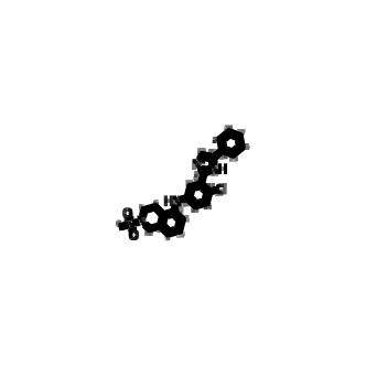 CS(=O)(=O)N1CCc2c(cccc2Nc2ccc(Cl)c(-c3ncc(-c4ccccc4)[nH]3)c2)C1